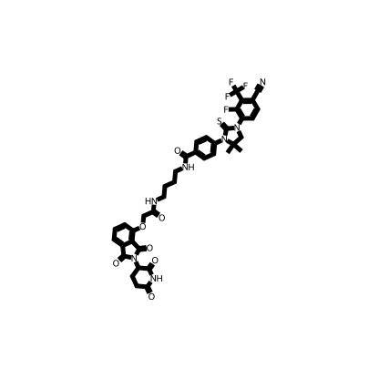 CC1(C)CN(c2ccc(C#N)c(C(F)(F)F)c2F)C(=S)N1c1ccc(C(=O)NCCCCNC(=O)COc2cccc3c2C(=O)N(C2CCC(=O)NC2=O)C3=O)cc1